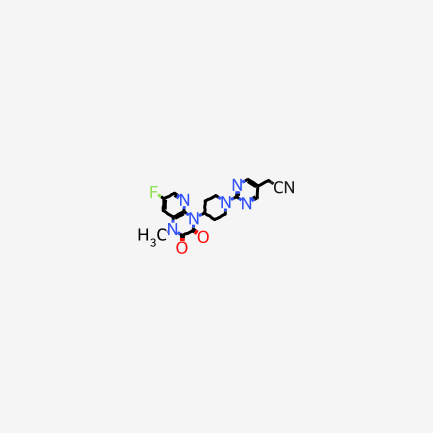 Cn1c(=O)c(=O)n(C2CCN(c3ncc(CC#N)cn3)CC2)c2ncc(F)cc21